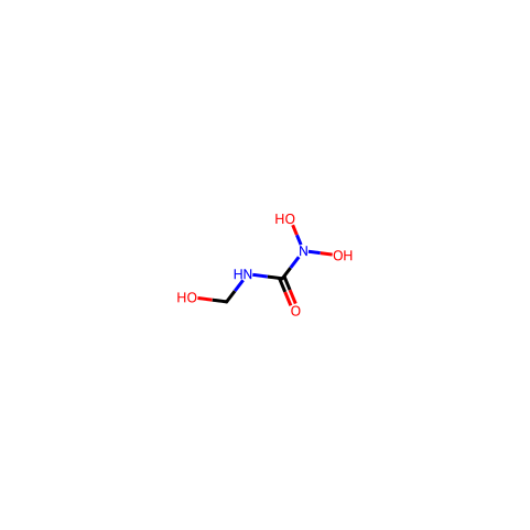 O=C(NCO)N(O)O